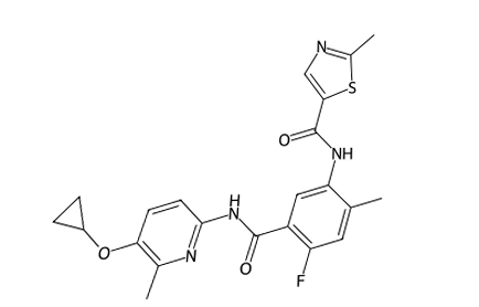 Cc1ncc(C(=O)Nc2cc(C(=O)Nc3ccc(OC4CC4)c(C)n3)c(F)cc2C)s1